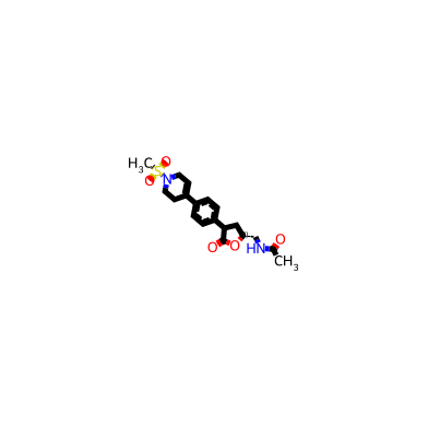 CC(=O)NC[C@H]1CC(c2ccc(C3=CCN(S(C)(=O)=O)CC3)cc2)C(=O)O1